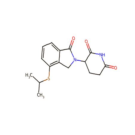 CC(C)Sc1cccc2c1CN(C1CCC(=O)NC1=O)C2=O